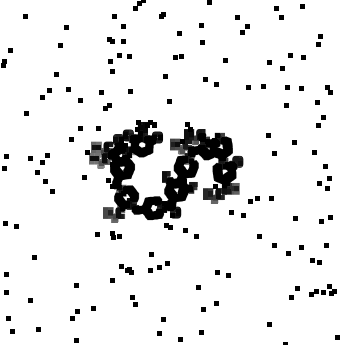 CNc1ccn(-c2ccnc3c2cc([C@H](C)N2CC=C(c4c(F)cc(C(=O)N5CCC(CN6CCN(Cc7ccc8c(c7)C(C)(C)C(=O)N8[C@@H]7CCC(=O)NC7=O)C[C@@H]6C)CC5)cc4F)CC2)n3C)c(=O)c1